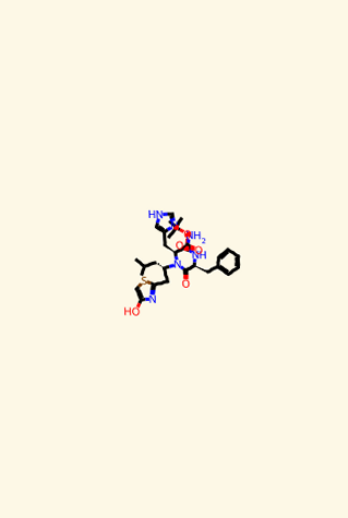 CC(C)C[C@@H](Cc1nc(O)cs1)N(C(=O)[C@H](Cc1ccccc1)NC(=O)OC(C)(C)C)[C@@H](Cc1c[nH]cn1)C(N)=O